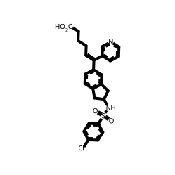 O=C(O)CCC/C=C(\c1cccnc1)c1ccc2c(c1)CC(NS(=O)(=O)c1ccc(Cl)cc1)C2